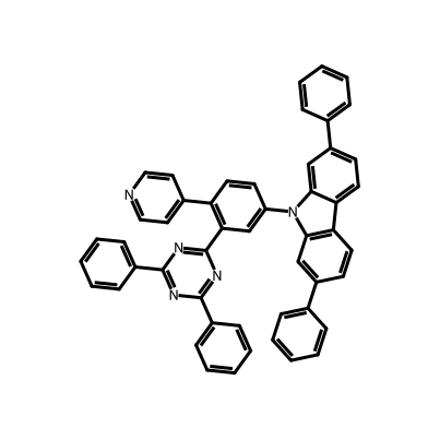 c1ccc(-c2ccc3c4ccc(-c5ccccc5)cc4n(-c4ccc(-c5ccncc5)c(-c5nc(-c6ccccc6)nc(-c6ccccc6)n5)c4)c3c2)cc1